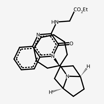 CCOC(=O)CNc1nc2ccccc2n([C@H]2C[C@H]3CC[C@@H](C2)N3C2CCCCCCC2)c1=O